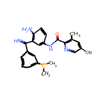 Cc1cc(C#N)cnc1C(=O)Nc1ccc(N)c(C(=N)c2cccc(P(C)C)c2)c1